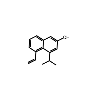 C=Cc1cccc2cc(O)cc(C(C)C)c12